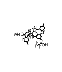 CO[C@H](c1ncc(C)cn1)[C@H](C)S(=O)(=O)Nc1nnc(-c2cncc(C)c2)n1-c1c(Cl)cccc1Cl.O=C(O)C(F)(F)F